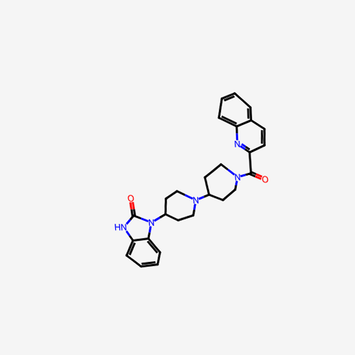 O=C(c1ccc2ccccc2n1)N1CCC(N2CCC(n3c(=O)[nH]c4ccccc43)CC2)CC1